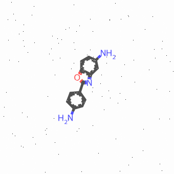 Nc1ccc(-c2nc3cc(N)ccc3o2)cc1